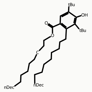 CCCCCCCCCCCCCCCCCCOC(=O)c1cc(C(C)(C)C)c(O)c(C(C)(C)C)c1CCCCCCCCCCCCCCCCCC